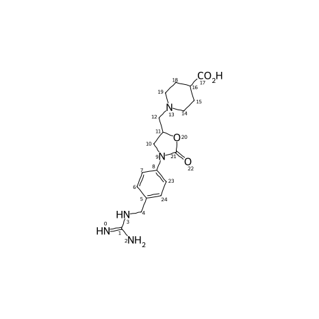 N=C(N)NCc1ccc(N2CC(CN3CCC(C(=O)O)CC3)OC2=O)cc1